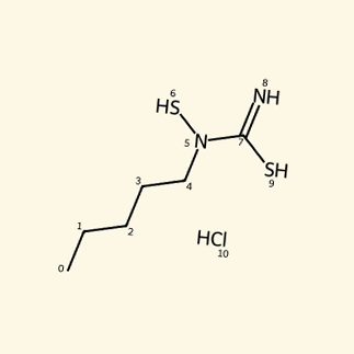 CCCCCN(S)C(=N)S.Cl